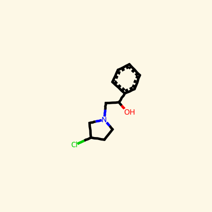 OC(CN1CCC(Cl)C1)c1ccccc1